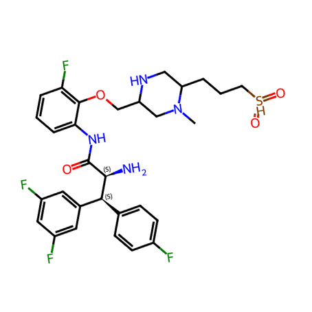 CN1CC(COc2c(F)cccc2NC(=O)[C@@H](N)[C@@H](c2ccc(F)cc2)c2cc(F)cc(F)c2)NCC1CCC[SH](=O)=O